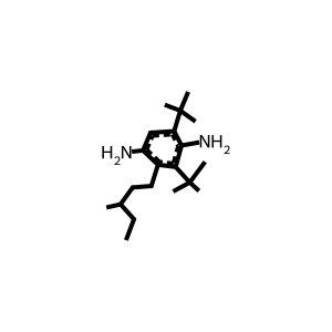 CCC(C)CCc1c(N)cc(C(C)(C)C)c(N)c1C(C)(C)C